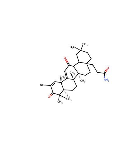 CC1(C)CC[C@]2(CCC(N)=O)CC[C@]3(C)C(C(=O)C=C4[C@@]5(C)C=C(C#N)C(=O)C(C)(C)[C@@H]5CC[C@]43C)C2C1